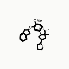 COc1ccc([C@@H]2CC(C3[CH]CCO3)C[C@@]2(C)[C@@H](C)O)cc1OC1Cc2ccccc2C1